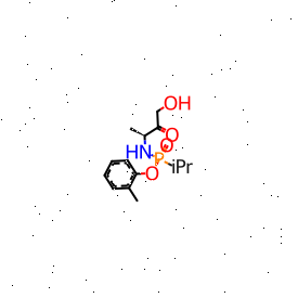 Cc1ccccc1OP(=O)(N[C@@H](C)C(=O)CO)C(C)C